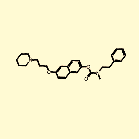 CN(CCc1ccccc1)C(=O)Oc1ccc2cc(OCCCN3CCCCC3)ccc2c1